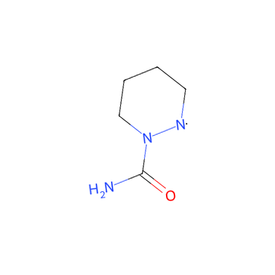 NC(=O)N1CCCC[N]1